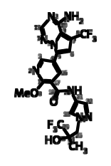 COc1ncc(-c2cc(C(F)(F)F)c3c(N)ncnn23)cc1C(=O)Nc1cnn(CC(C)(O)C(F)(F)F)c1